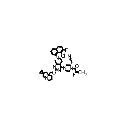 C=C(F)C(=O)N1CCN(c2nc(OCC34CCCN3CC3(CC3)C4)nc3c2CCN(c2cccc4ccc(F)c(Cl)c24)C3)C[C@@H]1CC#N